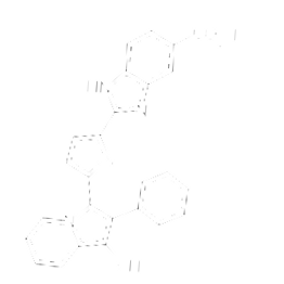 Cc1c(-c2ccccc2)c(-c2ccc(-c3nc4cc(C(=O)O)ccc4[nH]3)s2)n2ccccc12